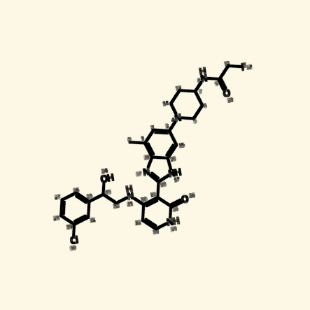 Cc1cc(N2CCC(NC(=O)CF)CC2)cc2[nH]c(-c3c(NCC(O)c4cccc(Cl)c4)cc[nH]c3=O)nc12